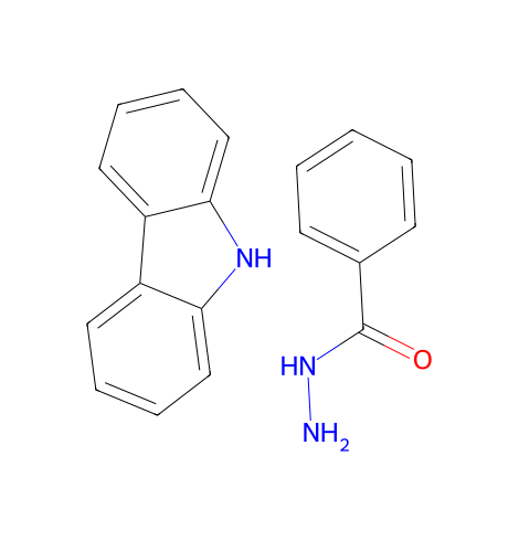 NNC(=O)c1ccccc1.c1ccc2c(c1)[nH]c1ccccc12